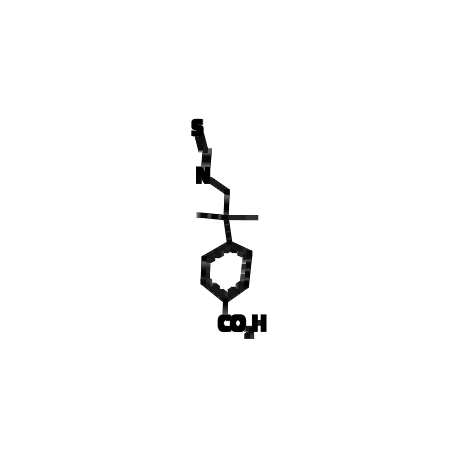 CC(C)(CN=C=S)c1ccc(C(=O)O)cc1